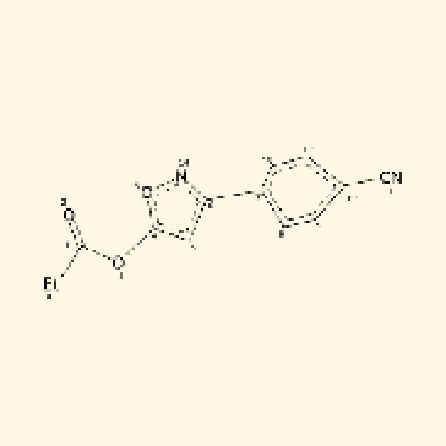 CCC(=O)Oc1cc(-c2ccc(C#N)cc2)no1